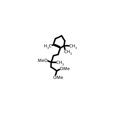 COC(CC(C)(CCC1=C(C)CCCC1(C)C)OC)OC